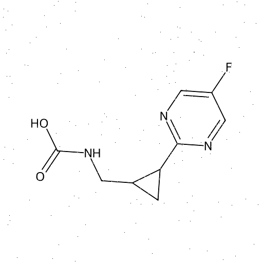 O=C(O)NCC1CC1c1ncc(F)cn1